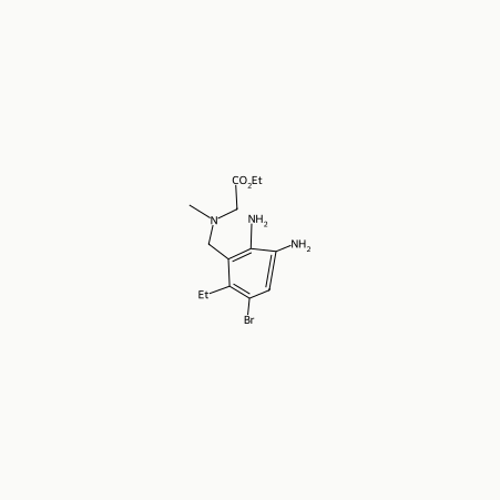 CCOC(=O)CN(C)Cc1c(N)c(N)cc(Br)c1CC